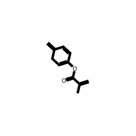 C=C1C=CC(OC(=O)C(=C)C)=CC1